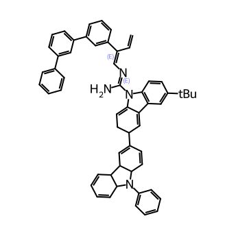 C=C/C(=C\N=C(/N)n1c2c(c3cc(C(C)(C)C)ccc31)=CC(C1=CC3C4C=CC=CC4N(c4ccccc4)C3C=C1)CC=2)c1cccc(-c2cccc(-c3ccccc3)c2)c1